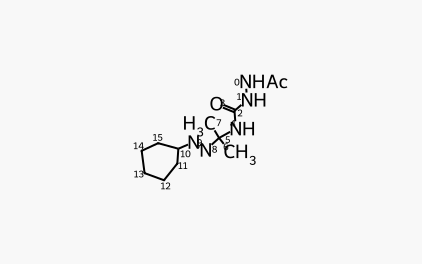 CC(=O)NNC(=O)NC(C)(C)N=NC1CCCCC1